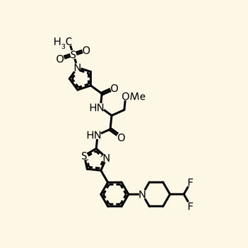 COCC(NC(=O)c1ccn(S(C)(=O)=O)c1)C(=O)Nc1nc(-c2cccc(N3CCC(C(F)F)CC3)c2)cs1